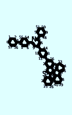 c1ccc(-c2ccc(-c3cc(-c4ccc(-c5ccc6c(c5)-c5sc7ccccc7c5C65c6ccccc6-c6ccccc65)cc4)cc(-c4ccccc4)n3)cc2)cc1